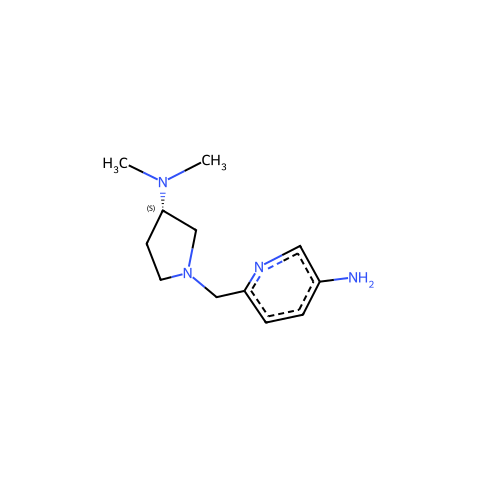 CN(C)[C@H]1CCN(Cc2ccc(N)cn2)C1